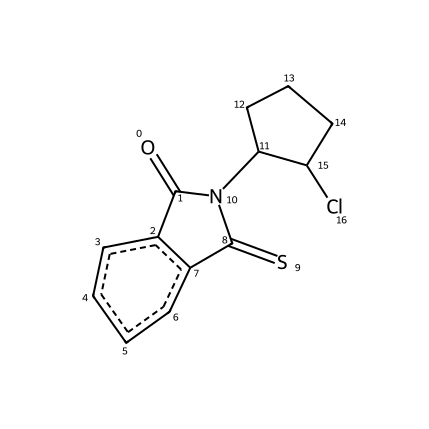 O=C1c2ccccc2C(=S)N1C1CCCC1Cl